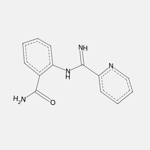 N=C(Nc1ccccc1C(N)=O)c1ccccn1